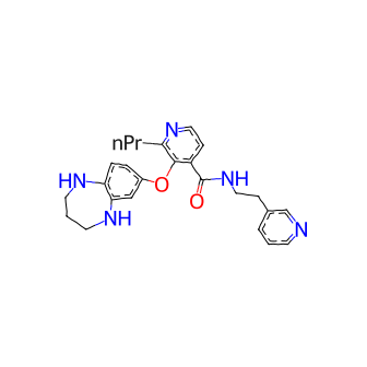 CCCc1nccc(C(=O)NCCc2cccnc2)c1Oc1ccc2c(c1)NCCCN2